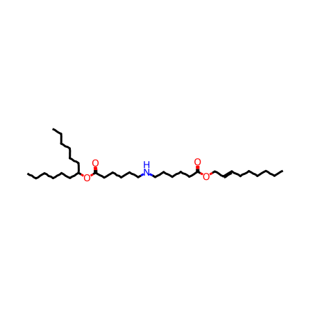 CCCCCCC=CCOC(=O)CCCCCNCCCCCC(=O)OC(CCCCCC)CCCCCC